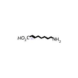 NCCCCC/C=C/C(=O)O